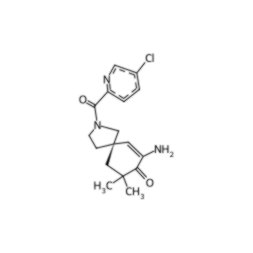 CC1(C)C[C@@]2(C=C(N)C1=O)CCN(C(=O)c1ccc(Cl)cn1)C2